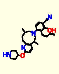 C=C(O)/C=C\c1c(N2CC(C)CCc3nc(OC4CCNCC4)ccc3C(C)C2)ccc(C#N)c1C